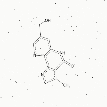 Cc1cnn2c1c(=O)[nH]c1cc(CO)cnc12